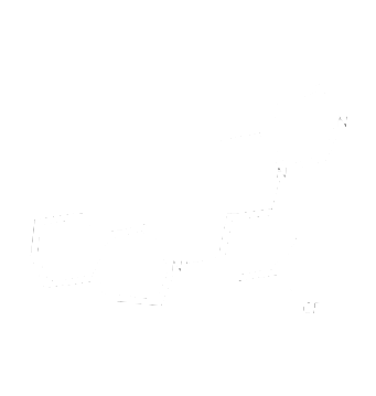 Cc1c(-[n+]2cnccc2C)cc(C(F)(F)F)cc1-[n+]1cc2ccccc2cc1C